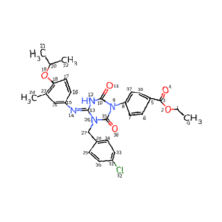 CCOC(=O)c1ccc(-n2c(=O)[nH]/c(=N\c3ccc(OC(C)C)c(C)c3)n(Cc3ccc(Cl)cc3)c2=O)cc1